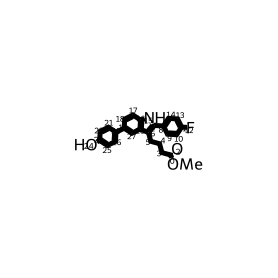 COC(=O)CCCc1c(-c2ccc(F)cc2)[nH]c2ccc(-c3ccc(O)cc3)cc12